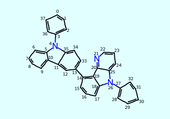 c1ccc(-n2c3ccccc3c3cc(-c4cccc5c4c4ncccc4n5-c4ccccc4)ccc32)cc1